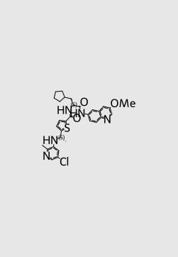 COc1cnc2ccc(NC(=O)[C@H](CC3CCCC3)NC(=O)c3ccc([C@H](C)Nc4cc(Cl)cnc4C)s3)cc2c1